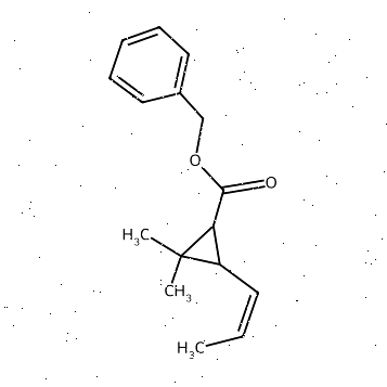 C/C=C\C1C(C(=O)OCc2ccccc2)C1(C)C